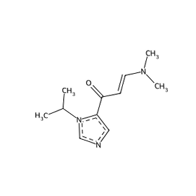 CC(C)n1cncc1C(=O)C=CN(C)C